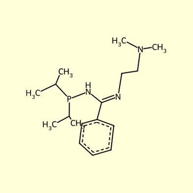 CC(C)P(NC(=NCCN(C)C)c1ccccc1)C(C)C